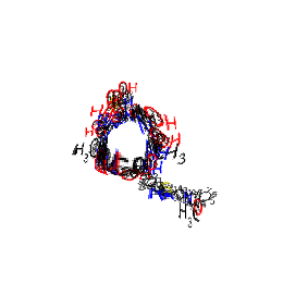 COC1(C2CCCCC2)CCN(c2ccc(-c3nnc([C@H]4CC[C@H](CN[C@H]5C[C@@H](O)CNC(=O)[C@@H]6[C@@H](O)[C@@H](C)CN6C(=O)[C@H]([C@H](O)CC(N)=O)NC(=O)[C@H]([C@H](O)Cc6ccc(O)c(OS(=O)(=O)O)c6)NC(=O)[C@@H]6C[C@@H](O)CN6C(=O)[C@H]([C@@H](C)O)NC5=O)CC4)s3)cc2)CC1